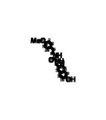 COc1ccc(CCNC(=O)NCC(Cc2ccc(O)cc2)N(C)C)cc1